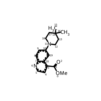 COC(=O)c1ccnc2ccc(N3CCC(C)(C)CC3)cc12